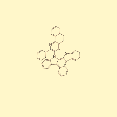 c1ccc(-c2nc3c(ccc4ccccc43)nc2-n2c3ccccc3c3c4ccccc4c4c5ccccc5sc4c32)cc1